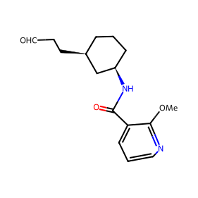 COc1ncccc1C(=O)N[C@@H]1CCC[C@H](CCC=O)C1